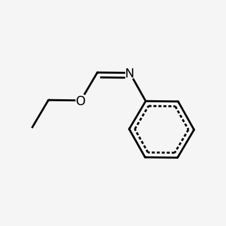 CCO/C=N\c1ccccc1